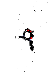 CO[C@H]1C[C@@H](C)C/C(C)=C/[C@@H](C/C=C/CO)C(=O)C[C@H](O)[C@@H](C)[C@@H](/C(C)=C/[C@H]2CC[C@H](OC(=O)N3CCn4cnnc4C3)CC2)OC(=O)[C@@H]2CCCCN2C(=O)C(=O)[C@]2(O)O[C@H]1[C@@H](OC)C[C@H]2C